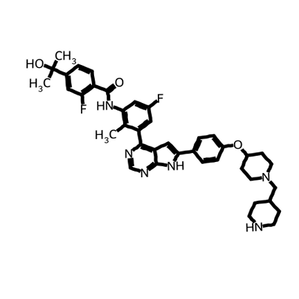 Cc1c(NC(=O)c2ccc(C(C)(C)O)cc2F)cc(F)cc1-c1ncnc2[nH]c(-c3ccc(OC4CCN(CC5CCNCC5)CC4)cc3)cc12